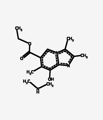 CCOC(=O)c1cn2c(C)c(C)nc2c(O)c1C.CNC